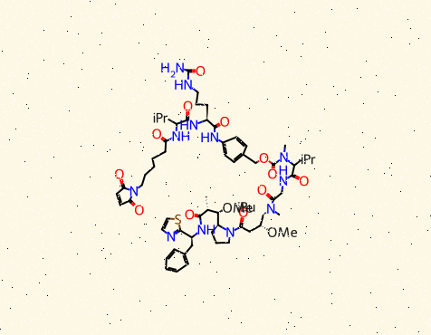 CC[C@H](C)[C@@H]([C@@H](CC(=O)N1CCC[C@H]1[C@H](OC)[C@@H](C)C(=O)N[C@@H](Cc1ccccc1)c1nccs1)OC)N(C)C(=O)CNC(=O)C(C(C)C)N(C)C(=O)OCc1ccc(NC(=O)[C@H](CCCNC(N)=O)NC(=O)C(NC(=O)CCCCCN2C(=O)C=CC2=O)C(C)C)cc1